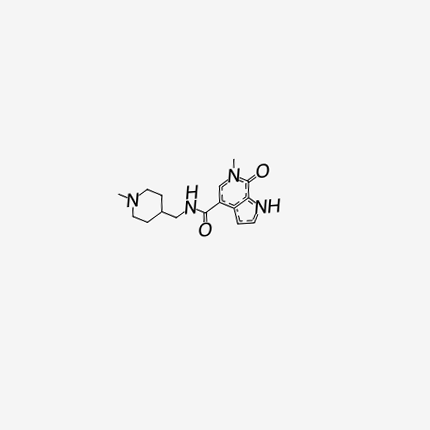 CN1CCC(CNC(=O)c2cn(C)c(=O)c3[nH]ccc23)CC1